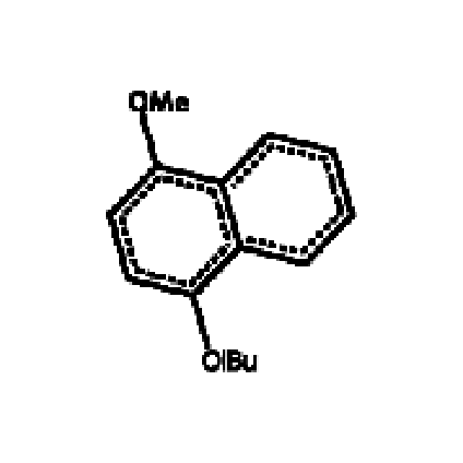 COc1ccc(OCC(C)C)c2ccccc12